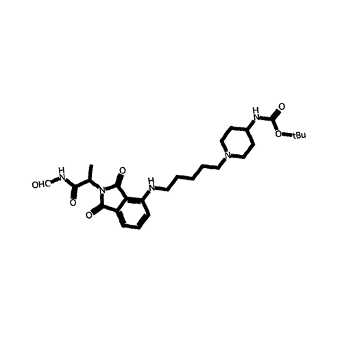 CC(C(=O)NC=O)N1C(=O)c2cccc(NCCCCCN3CCC(NC(=O)OC(C)(C)C)CC3)c2C1=O